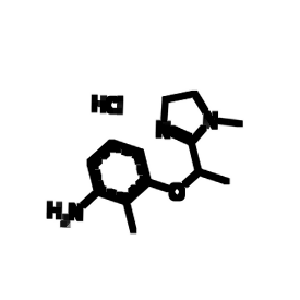 Cc1c(N)cccc1OC(C)C1=NCCN1C.Cl